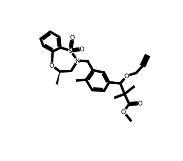 C#CCOC(c1ccc(C)c(CN2C[C@@H](C)Oc3ccccc3S2(=O)=O)c1)C(C)(C)C(=O)OC